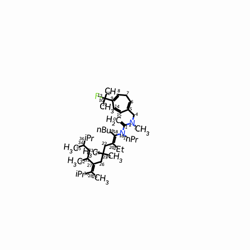 C=C(N(C)CC1=CCC=C(C(C)(C)F)C=C1)N(CCC)/C(CCCC)=C(\CC)CC(C)(C)C/C(=C(\C)C(C)C)C(C)CC(C)C(C)C